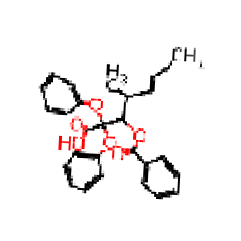 CCC=CC(C)C(OC(=O)c1ccccc1)C(Oc1ccccc1)(Oc1ccccc1)C(=O)O